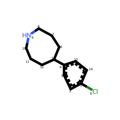 Clc1ccc(C2CCCNCCC2)cc1